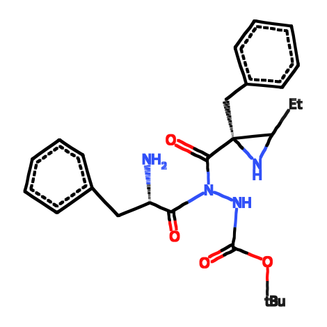 CCC1N[C@@]1(Cc1ccccc1)C(=O)N(NC(=O)OC(C)(C)C)C(=O)[C@@H](N)Cc1ccccc1